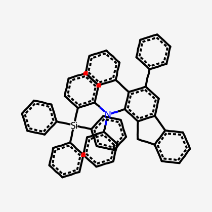 c1ccc(-c2cc3c(c(N(c4ccccc4)c4ccccc4[Si](c4ccccc4)(c4ccccc4)c4ccccc4)c2-c2ccccc2)Cc2ccccc2-3)cc1